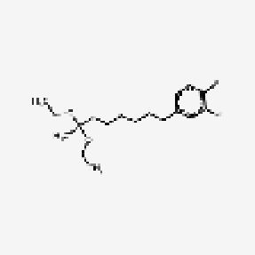 CCO[Si](C)(CCCCCCc1ccc(F)c(F)c1)OCC